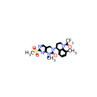 Cc1cccc2c1N(C(=O)C(F)(F)F)CC[C@@H]2N1Cc2cnc(S(C)(=O)=O)nc2N(C)C1=O